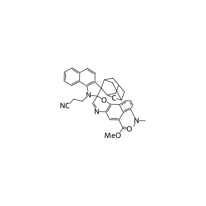 COC(=O)c1cc2c(c3cccc(N(C)C)c13)OC1(C=N2)N(CCC#N)c2c(ccc3ccccc23)C12C1CC3CC(C1)CC2C3